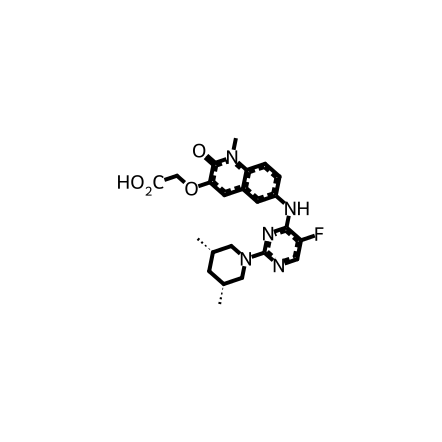 C[C@@H]1C[C@H](C)CN(c2ncc(F)c(Nc3ccc4c(c3)cc(OCC(=O)O)c(=O)n4C)n2)C1